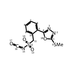 CSc1nnc(-c2ccccc2CS(=O)(=O)N=C=O)o1